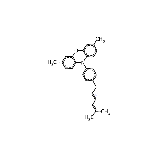 CC(C)=C/C=C/Cc1ccc(N2c3ccc(C)cc3Oc3cc(C)ccc32)cc1